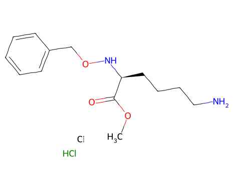 COC(=O)[C@H](CCCCN)NOCc1ccccc1.Cl.[C]